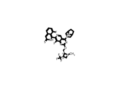 CN1C[C@@H](C(F)(F)F)[C@H]1COc1nc(N2CC3CCC(C2)N3)c2cnc(-c3[nH]c(=S)cc4cccc(F)c34)c(F)c2n1